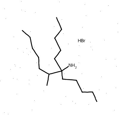 Br.CCCCCC(C)C(N)(CCCCC)CCCCC